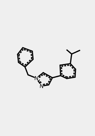 CC(C)c1cccc(-c2cnn(Cc3ccccc3)c2)c1